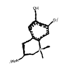 CNC1Cc2cc(O)c(O)cc2[N+](C)(C)C1